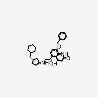 O=c1ccc2c([C@H](O)CN[C@@H]3CC[C@H](CC4CCCCC4)C3)ccc(OCc3ccccc3)c2[nH]1